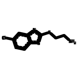 NCCSc1nc2cc(Cl)ccc2s1